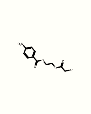 CC(=O)CC(=O)OCCOC(=O)c1ccc([N+](=O)[O-])cc1